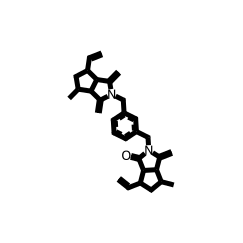 C=CC1CC(C)C2C(=C)N(Cc3cccc(CN4C(=C)C5C(C)CC(C=C)C5C4=O)c3)C(=C)C12